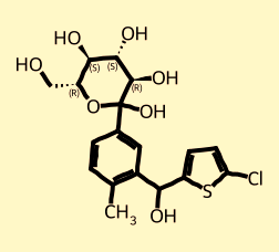 Cc1ccc(C2(O)O[C@H](CO)[C@@H](O)[C@H](O)[C@H]2O)cc1C(O)c1ccc(Cl)s1